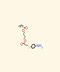 CCCC(=O)OCCCCOC(=O)CCSc1ccc(N)cc1